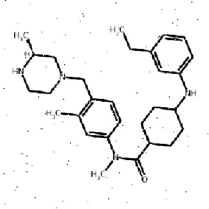 [CH2]Cc1cccc(NC2CCC(C(=O)N(C)c3ccc(CN4CCN[C@@H](C)C4)c(C)c3)CC2)c1